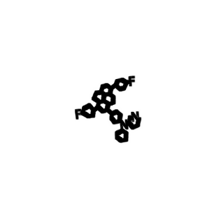 Fc1ccc(-c2ccc3ccc4c(-c5ccc(F)cc5)cc(-c5ccc(N(c6ccccc6)c6cccnc6)cc5)c5ccc2c3c45)cc1